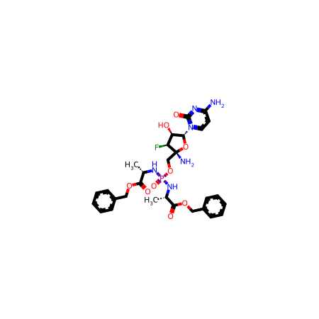 C[C@H](NP(=O)(N[C@@H](C)C(=O)OCc1ccccc1)OC[C@@]1(N)O[C@@H](n2ccc(N)nc2=O)[C@H](O)[C@@H]1F)C(=O)OCc1ccccc1